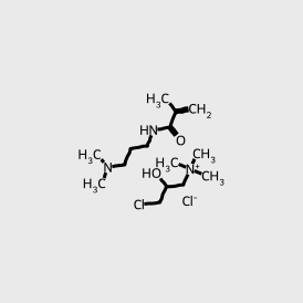 C=C(C)C(=O)NCCCN(C)C.C[N+](C)(C)CC(O)CCl.[Cl-]